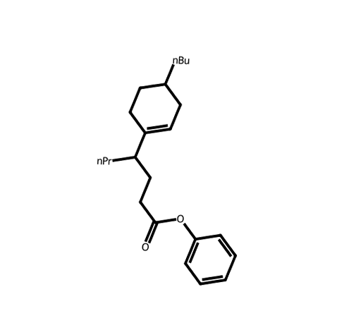 CCCCC1CC=C(C(CCC)CCC(=O)Oc2ccccc2)CC1